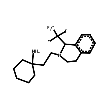 NC1(CCN2CCc3ccccc3C2C(F)(F)C(F)(F)F)CCCCC1